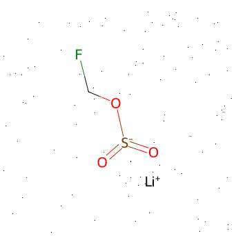 O=[S-](=O)OCF.[Li+]